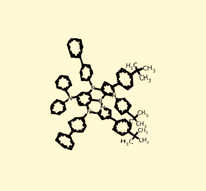 CC(C)(C)c1ccc(-c2cc3n(c2)B2c4c(cc(N(c5ccccc5)c5ccccc5)cc4N3c3ccc(-c4ccccc4)cc3)N(c3ccc(-c4ccccc4)cc3)c3cc(-c4ccc(C(C)(C)C)cc4)n(-c4ccc(C(C)(C)C)cc4)c32)cc1